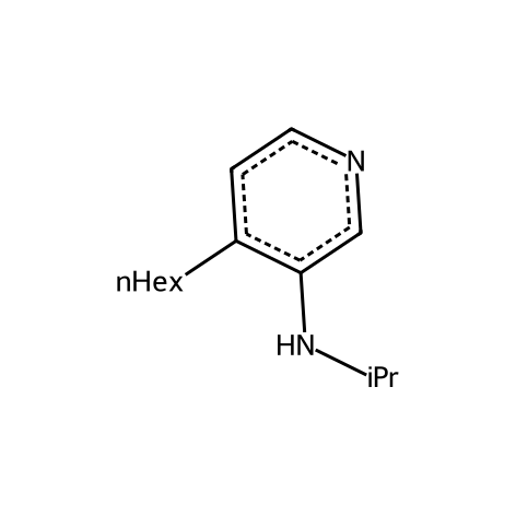 CCCCCCc1ccncc1NC(C)C